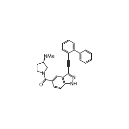 CN[C@@H]1CCN(C(=O)c2ccc3[nH]nc(C#Cc4ccccc4-c4ccccc4)c3c2)C1